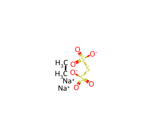 CC.O=S(=O)([O-])SS(=O)(=O)[O-].[Na+].[Na+]